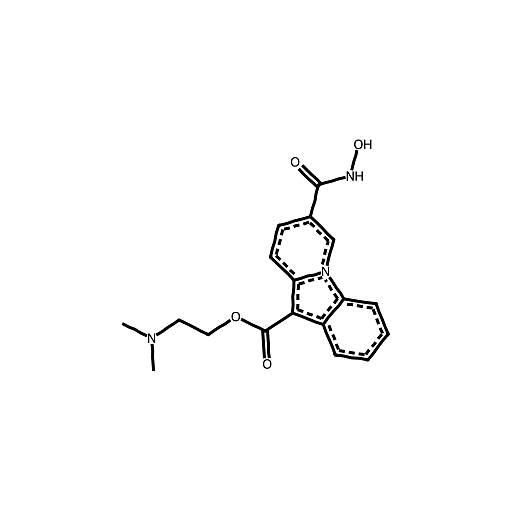 CN(C)CCOC(=O)c1c2ccccc2n2cc(C(=O)NO)ccc12